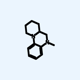 CN1CC2CCCCN2c2ccccc21